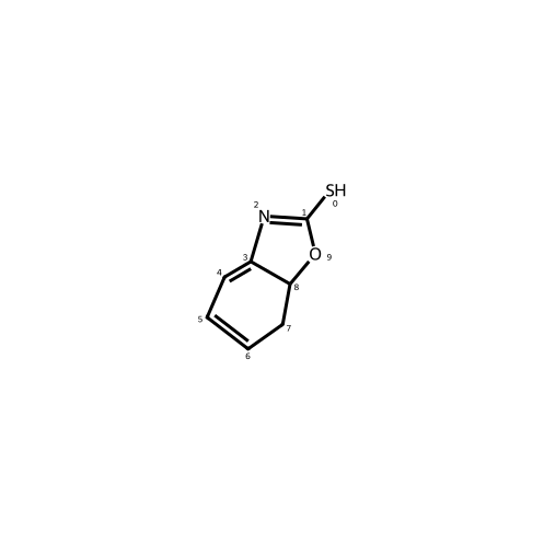 SC1=NC2=CC=CCC2O1